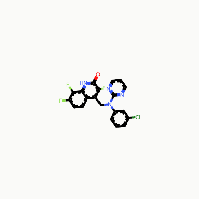 O=c1[nH]c2c(F)c(F)ccc2c(CN(c2cccc(Cl)c2)c2ncccn2)c1F